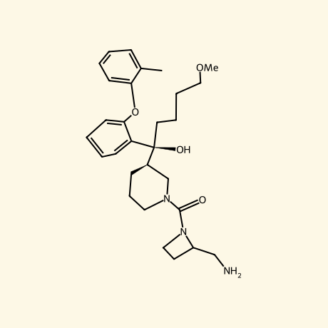 COCCCC[C@@](O)(c1ccccc1Oc1ccccc1C)[C@@H]1CCCN(C(=O)N2CCC2CN)C1